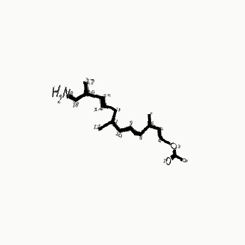 CC(=O)OCCC(C)CCCC(C)CCCC(C)CN